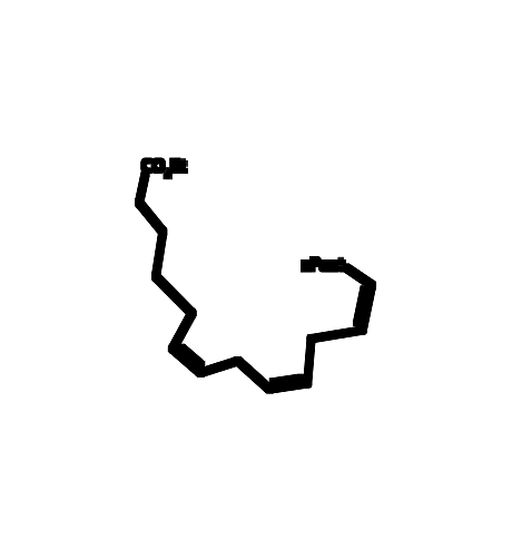 CCCCC/C=C\C/C=C\C/C=C\CCCCC(=O)OCC